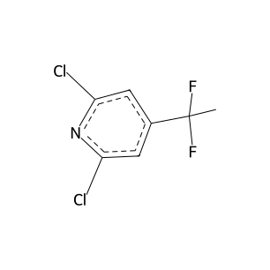 CC(F)(F)c1cc(Cl)nc(Cl)c1